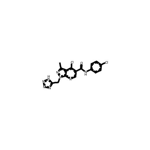 Cc1nn(Cc2nnn[nH]2)c2ncc(C(=O)Nc3ccc(Cl)cc3)c(Cl)c12